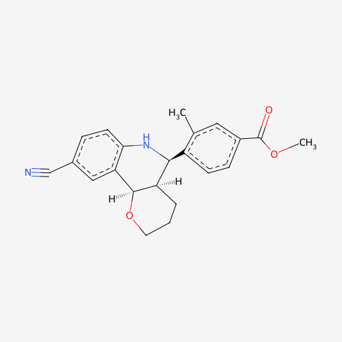 COC(=O)c1ccc([C@@H]2Nc3ccc(C#N)cc3[C@@H]3OCCC[C@H]23)c(C)c1